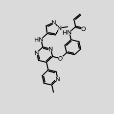 C=CC(=O)Nc1cccc(Oc2nc(Nc3cnn(C)c3)ncc2-c2ccc(C)nc2)c1